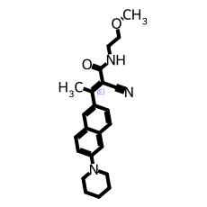 COCCNC(=O)/C(C#N)=C(\C)c1ccc2cc(N3CCCCC3)ccc2c1